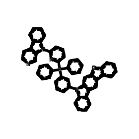 c1ccc(S(c2ccccc2)(c2cccc(-n3c4ccccc4c4cc5c(cc43)oc3ccccc35)c2)c2cccc(-n3c4ccccc4c4ccncc43)n2)cc1